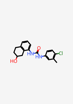 Cc1cc(NC(=O)Nc2cccc3c2CC(O)CC3)ccc1Cl